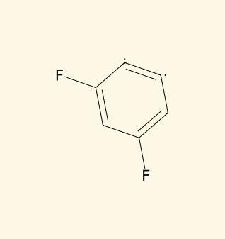 Fc1[c][c]cc(F)c1